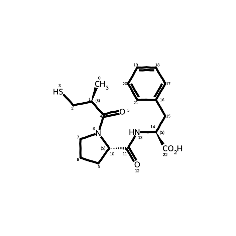 C[C@H](CS)C(=O)N1CCC[C@H]1C(=O)N[C@@H](Cc1ccccc1)C(=O)O